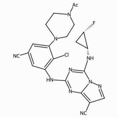 CC(=O)N1CCN(c2cc(C#N)cc(Nc3nc(N[C@@H]4C[C@@H]4F)n4ncc(C#N)c4n3)c2Cl)CC1